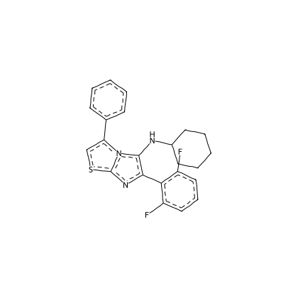 Fc1cccc(F)c1-c1nc2scc(-c3ccccc3)n2c1NC1CCCCC1